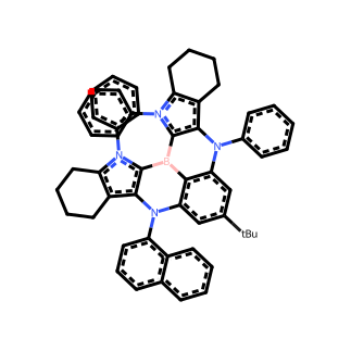 CC(C)(C)c1cc2c3c(c1)N(c1cccc4ccccc14)c1c4c(n(-c5ccccc5)c1B3c1c(c3c(n1-c1ccccc1)CCCC3)N2c1ccccc1)CCCC4